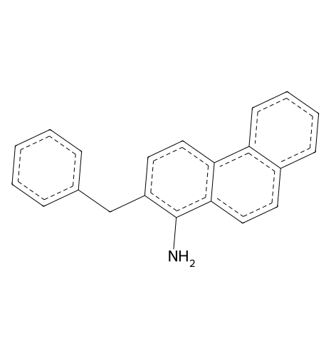 Nc1c(Cc2ccccc2)ccc2c1ccc1ccccc12